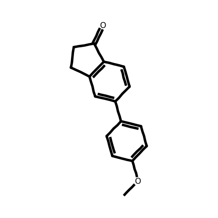 COc1ccc(-c2ccc3c(c2)CCC3=O)cc1